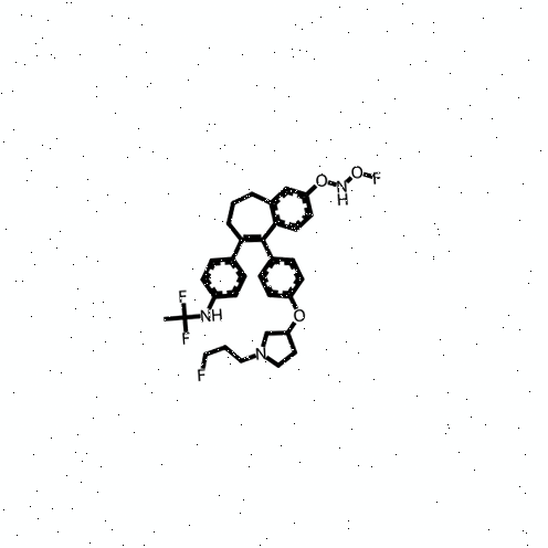 CC(F)(F)Nc1ccc(C2=C(c3ccc(OC4CCN(CCCF)C4)cc3)c3ccc(ONOF)cc3CCC2)cc1